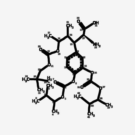 CC(C)C(C)OC(=O)Oc1ccc(C(C(C)C(C)OC(=O)OCC(C)(C)C)[C@H](N)C(=O)O)cc1OC(=O)OC(C)C(C)C